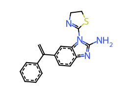 C=C(c1ccccc1)c1ccc2nc(N)n(C3=NCCS3)c2c1